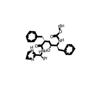 CC(C)[C@H](NC(=O)[C@H](Cc1ccccc1)C[C@H](O)[C@H](Cc1ccccc1)NC(=O)OC(C)(C)C)c1ncc[nH]1